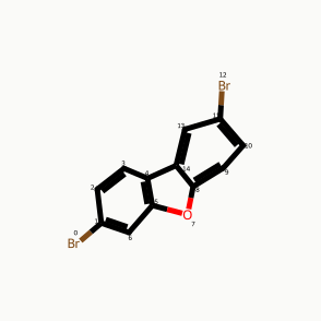 Brc1ccc2c(c1)oc1ccc(Br)cc12